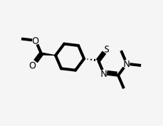 COC(=O)[C@H]1CC[C@H](C(=S)N=C(C)N(C)C)CC1